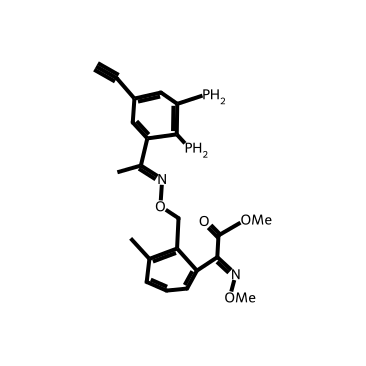 C#Cc1cc(P)c(P)c(/C(C)=N/OCc2c(C)cccc2/C(=N\OC)C(=O)OC)c1